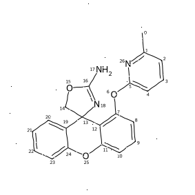 Cc1cccc(Oc2cccc3c2C2(COC(N)=N2)c2ccccc2O3)n1